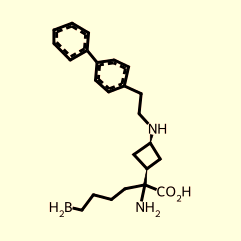 BCCCCC(N)(C(=O)O)[C@H]1C[C@@H](NCCc2ccc(-c3ccccc3)cc2)C1